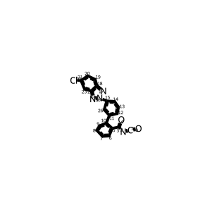 O=C=NC(=O)c1ccccc1-c1cccc(-n2nc3ccc(Cl)cc3n2)c1